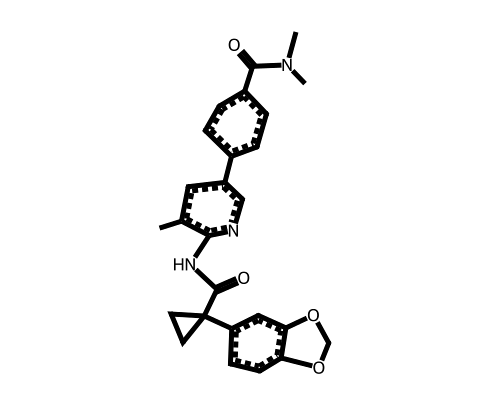 Cc1cc(-c2ccc(C(=O)N(C)C)cc2)cnc1NC(=O)C1(c2ccc3c(c2)OCO3)CC1